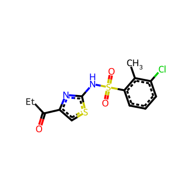 CCC(=O)c1csc(NS(=O)(=O)c2cccc(Cl)c2C)n1